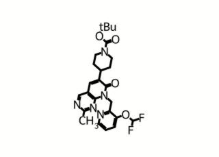 Cc1ncc2cc(C3CCN(C(=O)OC(C)(C)C)CC3)c(=O)n(Cc3ncccc3OC(F)F)c2n1